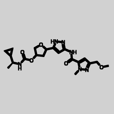 COCc1cc(C(=O)Nc2cc(C3CC(OC(=O)N[C@@H](C)C4CC4)CO3)[nH]n2)n(C)n1